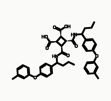 CCCC(NC(=O)[C@H]1[C@@H](C(=O)O)[C@H](C(=O)O)[C@@H]1C(=O)NC(CCC)c1ccc(Oc2cccc(C)c2)cc1)c1ccc(Oc2cccc(C)c2)cc1